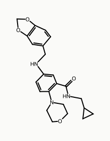 O=C(NCC1CC1)c1cc(NCc2ccc3c(c2)OCO3)ccc1N1CCOCC1